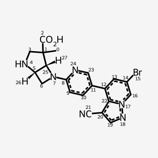 CC1(C(=O)O)CN[C@H]2CN(c3ccc(-c4cc(Br)cn5ncc(C#N)c45)cn3)[C@H]21